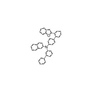 c1ccc(-c2cccc(N(c3ccc(-c4ccccc4-c4cc5ccccc5o4)cc3)c3ccc4ccccc4c3)c2)cc1